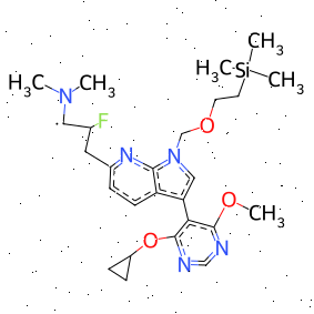 COc1ncnc(OC2CC2)c1-c1cn(COCC[Si](C)(C)C)c2nc(CC(F)[CH]N(C)C)ccc12